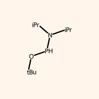 CC(C)N(POC(C)(C)C)C(C)C